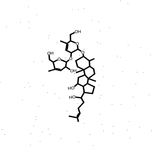 CC(C)=CCCC(O)C1CCC2C1C(O)CC1C3(C)CCC(OC4OC(CO)C(C)=CC4OC4OC(CO)C(C)=CC4O)C(C)C3CCC21C